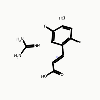 Cl.N=C(N)N.O=C(O)/C=C/c1cc(F)ccc1F